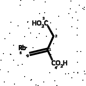 C=C(CC(=O)O)C(=O)O.[Rb]